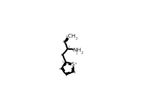 C=CC(N)Cc1cccs1